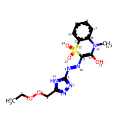 CCOOCc1nnc(N=NC2=C(O)N(C)c3ccccc3S2(=O)=O)[nH]1